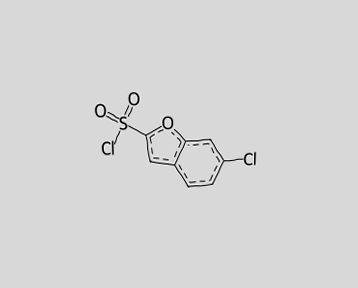 O=S(=O)(Cl)c1cc2ccc(Cl)cc2o1